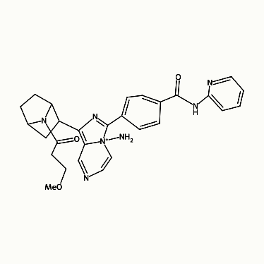 COCCC(=O)N1C2CCC1C(C1=C3C=NC=C[N+]3(N)C(c3ccc(C(=O)Nc4ccccn4)cc3)=N1)C2